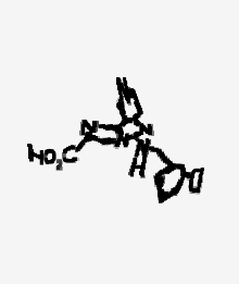 O=C(O)c1cn2c(NCc3cccc(Cl)c3)nc3ccncc3c2n1